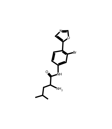 CC(C)CC(N)C(=O)Nc1ccc(-c2cnco2)c(Br)c1